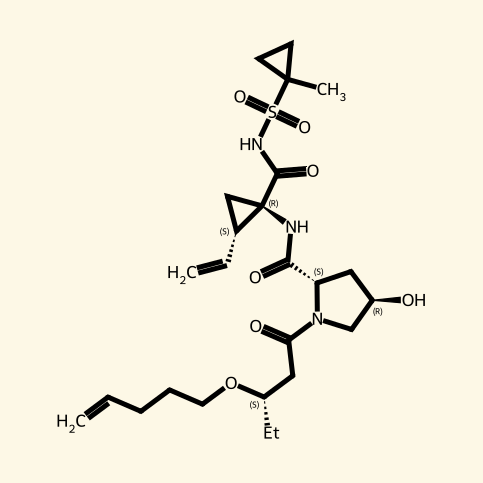 C=CCCCO[C@@H](CC)CC(=O)N1C[C@H](O)C[C@H]1C(=O)N[C@]1(C(=O)NS(=O)(=O)C2(C)CC2)C[C@H]1C=C